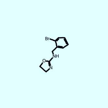 Brc1ccccc1CNC1=NCCO1